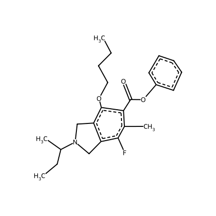 CCCCOc1c2c(c(F)c(C)c1C(=O)Oc1ccccc1)CN(C(C)CC)C2